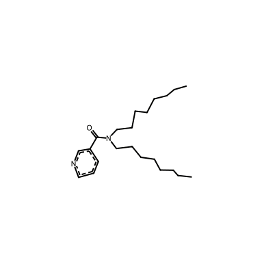 CCCCCCCCN(CCCCCCCC)C(=O)c1cccnc1